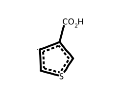 O=C(O)c1[c]csc1